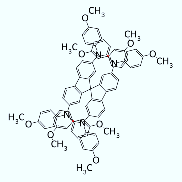 COc1ccc(N(c2cccc(OC)c2)c2ccc3c(c2)C2(c4cc(N(c5ccc(OC)cc5)c5cccc(OC)c5)ccc4-3)c3cc(N(c4ccc(OC)cc4)c4cccc(OC)c4)ccc3-c3ccc(N(c4ccc(OC)cc4)c4cccc(OC)c4)cc32)cc1